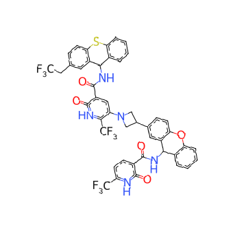 O=C(NC1c2ccccc2Oc2ccc(C3CN(c4cc(C(=O)NC5c6ccccc6Sc6ccc(CC(F)(F)F)cc65)c(=O)[nH]c4C(F)(F)F)C3)cc21)c1ccc(C(F)(F)F)[nH]c1=O